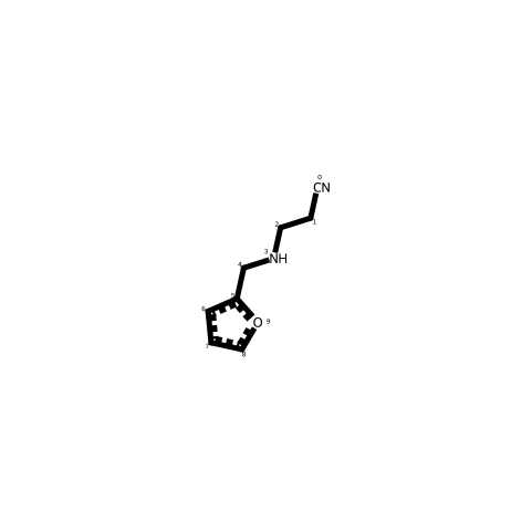 N#CCCNCc1ccco1